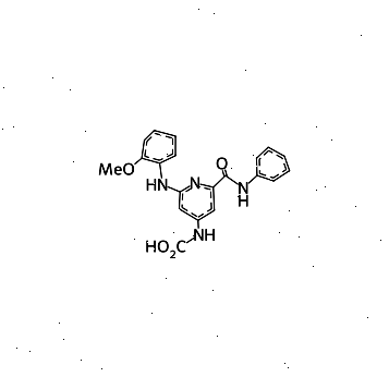 COc1ccccc1Nc1cc(NC(=O)O)cc(C(=O)Nc2ccccc2)n1